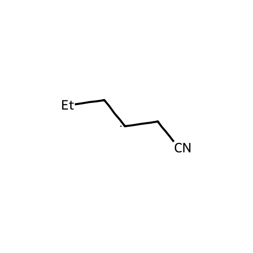 CCC[CH]CC#N